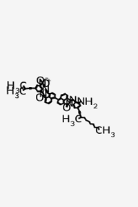 CCCCCCCCC(C)C#Cc1cc(N)c2nc3c4cccc5c(-c6ccc7c8c6cccc8c(=O)n6c8cc(C#CC(C)C)cc([N+](=O)[O-])c8nc76)ccc(c(=O)n3c2c1)c54